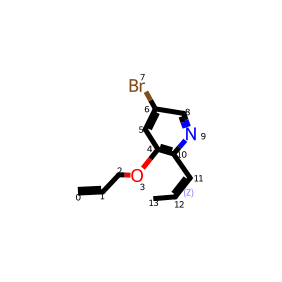 C=CCOc1cc(Br)cnc1/C=C\C